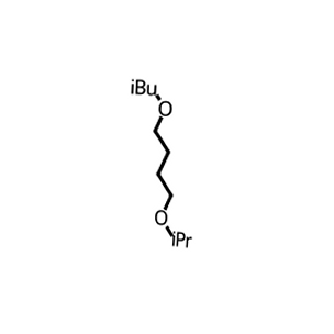 CCC(C)OCCCCOC(C)C